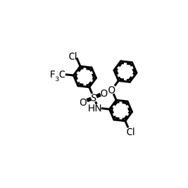 O=S(=O)(Nc1cc(Cl)ccc1Oc1ccccc1)c1ccc(Cl)c(C(F)(F)F)c1